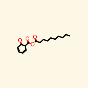 CCCCCCCCCC(=O)OC(=O)C1C=CC=CC1=O